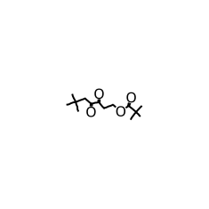 CC(C)(C)CC(=O)C(=O)CCOC(=O)C(C)(C)C